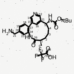 C[C@@H]1CCC[C@H](NC(=O)OC(C)(C)C)c2cncc(c2)-c2ccc(CN)cc2NC1=O.O=C(O)C(F)(F)F